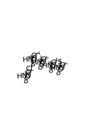 CC(C)=CCOC(=O)[C@H](C)NC(=O)Cc1cccc(Cl)c1.CC(C)COC(=O)[C@H](CC(C)C)NC(=O)Cc1ccccc1.CCC(C)COC(=O)[C@@H](NC(=O)Cc1ccccc1)C(C)C.CCC(NC(=O)Cc1ccccc1)C(=O)OCC(C)C.CSCC[C@H](NC(=O)Cc1ccccc1)C(=O)OCC(C)C